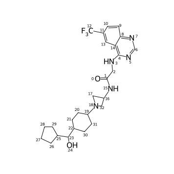 O=C(CNc1ncnc2ccc(C(F)(F)F)cc12)NC1CN(C2CCC(C(O)C3CCCC3)CC2)C1